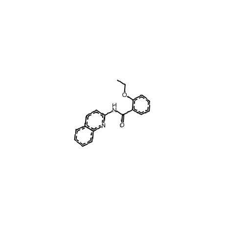 CCOc1ccccc1C(=O)Nc1ccc2ccccc2n1